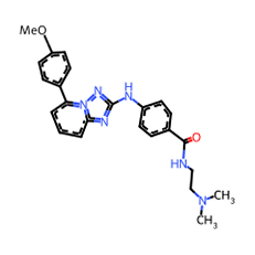 COc1ccc(-c2cccc3nc(Nc4ccc(C(=O)NCCN(C)C)cc4)nn23)cc1